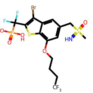 CS(=N)(=O)Cc1cc(OCCCC(F)(F)F)c2sc(C(F)(F)P(=O)(O)O)c(Br)c2c1